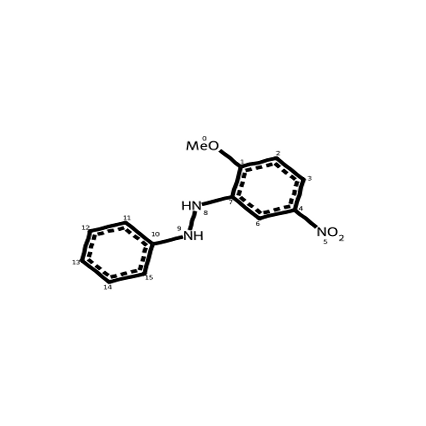 COc1ccc([N+](=O)[O-])cc1NNc1ccccc1